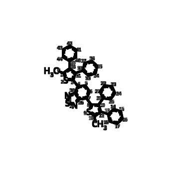 Cc1sc(-c2ccc(-c3sc(C)c(-c4ccccc4)c3-c3ccccc3)c3nsnc23)c(-c2ccccc2)c1-c1ccccc1